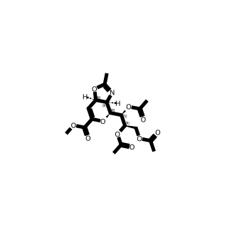 COC(=O)C1=C[C@H]2OC(C)=N[C@H]2[C@H]([C@H](OC(C)=O)[C@@H](COC(C)=O)OC(C)=O)O1